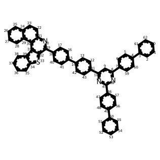 c1ccc(-c2ccc(-c3cc(-c4ccc(-c5ccc(-c6nc7ccc8ccccc8c7c7c6sc6ccccc67)cc5)cc4)nc(-c4ccc(-c5ccccc5)cc4)n3)cc2)cc1